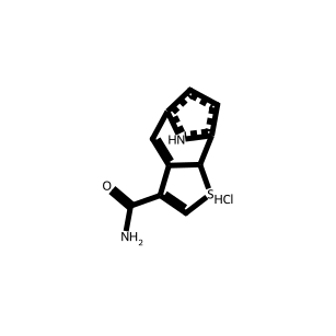 Cl.NC(=O)C1=CSC2C1=Cc1ccc2[nH]1